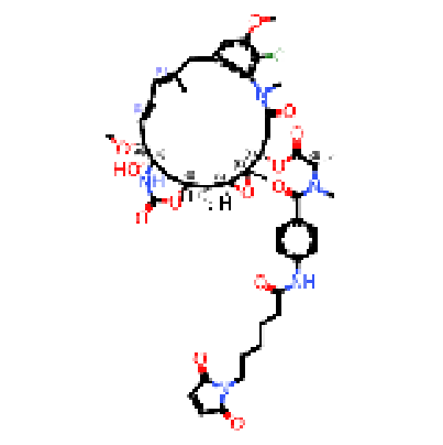 COc1cc2cc(c1Cl)N(C)C(=O)C[C@H](OC(=O)[C@H](C)N(C)C(=O)c1ccc(NC(=O)CCCCCN3C(=O)C=CC3=O)cc1)[C@]1(C)O[C@H]1[C@H](C)[C@@H]1C[C@@](O)(NC(=O)O1)[C@H](OC)/C=C/C=C(\C)C2